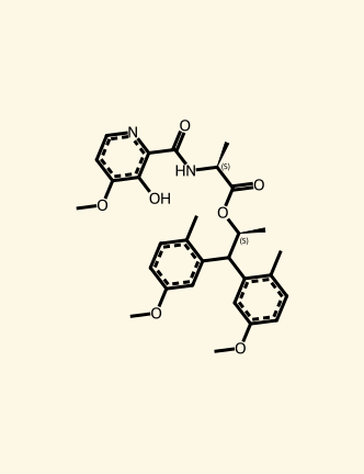 COc1ccc(C)c(C(c2cc(OC)ccc2C)[C@H](C)OC(=O)[C@H](C)NC(=O)c2nccc(OC)c2O)c1